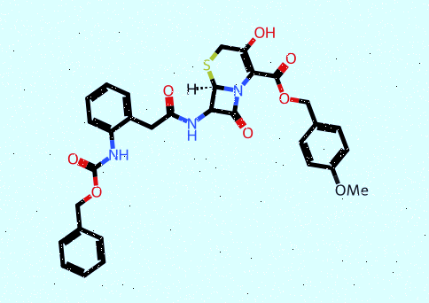 COc1ccc(COC(=O)C2=C(O)CS[C@@H]3C(NC(=O)Cc4ccccc4NC(=O)OCc4ccccc4)C(=O)N23)cc1